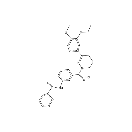 CCOc1cc(C2=NN(C(=O)c3cccc(NC(=O)c4cccnc4)c3)CCC2)ccc1OC.Cl